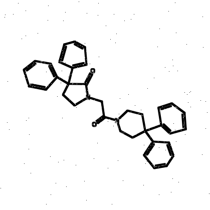 O=C(CN1CCC(c2ccccc2)(c2ccccc2)C1=O)N1CCC(c2ccccc2)(c2ccccc2)CC1